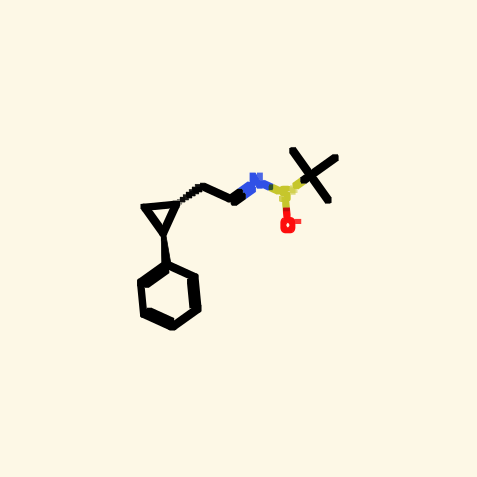 CC(C)(C)[S+]([O-])/N=C/C[C@H]1C[C@@H]1c1ccccc1